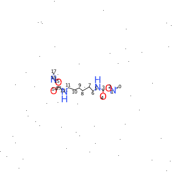 C=NOC(=O)NCCCCCCNC(=O)ON=C